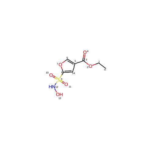 CCOC(=O)c1coc(S(=O)(=O)NO)c1